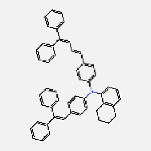 C(/C=C/c1ccc(N(c2ccc(C=C(c3ccccc3)c3ccccc3)cc2)c2cccc3c2CCCC3)cc1)=C(c1ccccc1)c1ccccc1